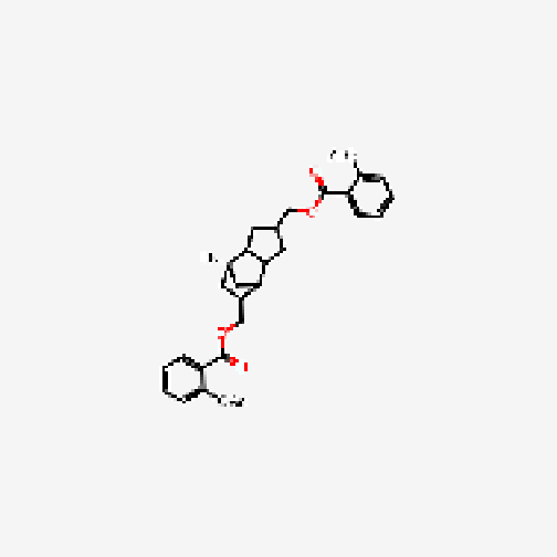 CC(=O)Oc1ccccc1C(=O)OCC1CC2C3C[C@@H](CC3COC(=O)c3ccccc3OC(C)=O)C2C1